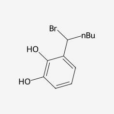 CCCCC(Br)c1cccc(O)c1O